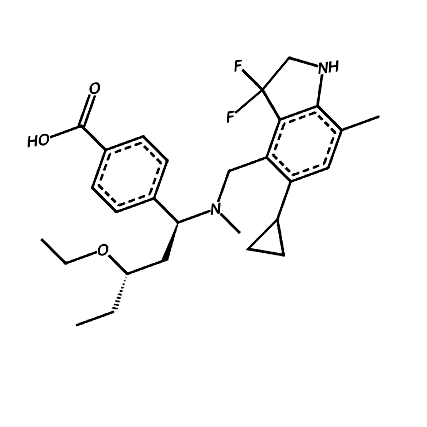 CCO[C@@H](CC)C[C@@H](c1ccc(C(=O)O)cc1)N(C)Cc1c(C2CC2)cc(C)c2c1C(F)(F)CN2